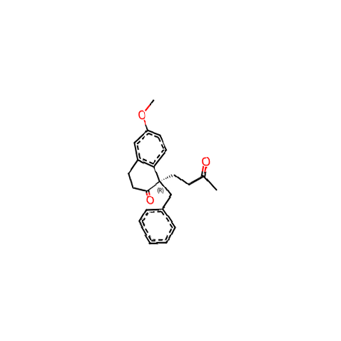 COc1ccc2c(c1)CCC(=O)[C@]2(CCC(C)=O)Cc1ccccc1